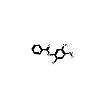 CCNc1cc(Cl)c(NC(=O)c2ccccc2)cc1C